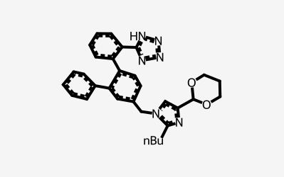 CCCCc1nc(C2OCCCO2)cn1Cc1ccc(-c2ccccc2-c2nnn[nH]2)c(-c2ccccc2)c1